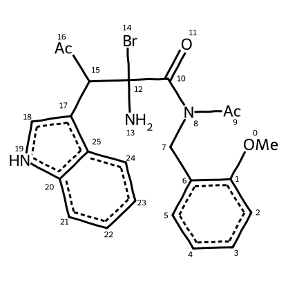 COc1ccccc1CN(C(C)=O)C(=O)C(N)(Br)C(C(C)=O)c1c[nH]c2ccccc12